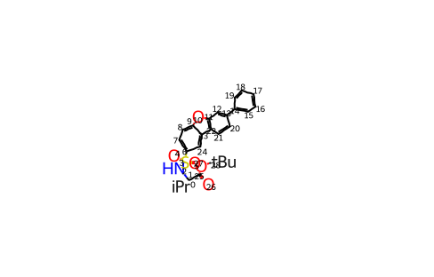 CC(C)C(NS(=O)(=O)c1ccc2oc3cc(-c4ccccc4)ccc3c2c1)C(=O)OC(C)(C)C